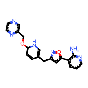 Nc1ncccc1-c1cc(CC2=CNC(OCc3cnccn3)C=C2)no1